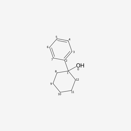 OC1(c2cc[c]cc2)CCCCC1